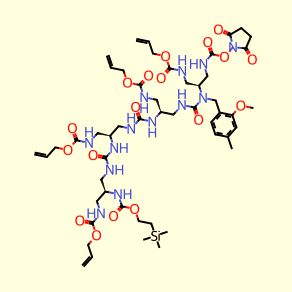 C=CCOC(=O)NC[C@@H](CNC(=O)N[C@@H](CNC(=O)OCC=C)CNC(=O)N(Cc1ccc(C)cc1OC)[C@@H](CNC(=O)OCC=C)CNC(=O)ON1C(=O)CCC1=O)NC(=O)NC[C@H](CNC(=O)OCC=C)NC(=O)OCC[Si](C)(C)C